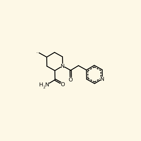 [CH2]C1CCN(C(=O)Cc2ccncc2)C(C(N)=O)C1